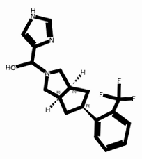 OC(c1c[nH]cn1)N1C[C@H]2C[C@@H](c3ccccc3C(F)(F)F)C[C@H]2C1